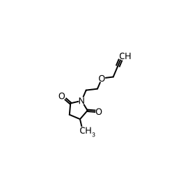 C#CCOCCN1C(=O)CC(C)C1=O